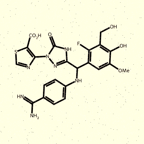 COc1cc(C(Nc2ccc(C(=N)N)cc2)c2nn(-c3ncsc3C(=O)O)c(=O)[nH]2)c(F)c(CO)c1O